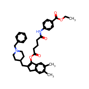 CCOC(=O)c1ccc(NC(=O)CCCC(=O)OC2=C(CC3CCN(Cc4ccccc4)CC3)Cc3cc(C)c(C)cc32)cc1